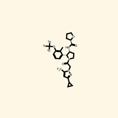 [2H]C([2H])([2H])Oc1cccc([C@@H]2[C@H](NC(=O)[C@H]3CCCO3)CCN2C(=O)Cn2nc(C3CC3)cc2C(F)(F)F)c1C